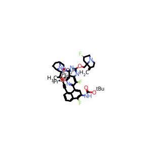 C=C1CCN2C[C@H](F)CC12COc1nc2c3c(nc(-c4cc(NC(=O)OC(C)(C)C)c(F)c5cccc(C#C[Si](C(C)C)(C(C)C)C(C)C)c45)c(F)c3n1)OC(C)C1C3CCC(CN21)N3C(=O)O